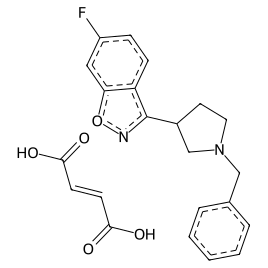 Fc1ccc2c(C3CCN(Cc4ccccc4)C3)noc2c1.O=C(O)C=CC(=O)O